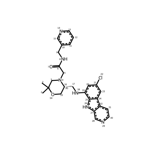 CC1(C)CN(CC(=O)NCc2cccnc2)[C@H](CNc2cc(Cl)cc3c2[nH]c2cnccc23)CO1